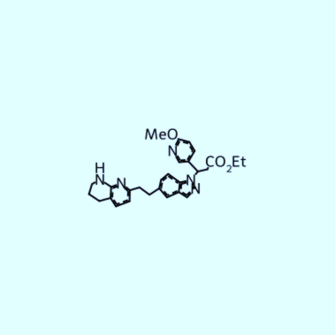 CCOC(=O)CC(c1ccc(OC)nc1)n1ncc2cc(CCc3ccc4c(n3)NCCC4)ccc21